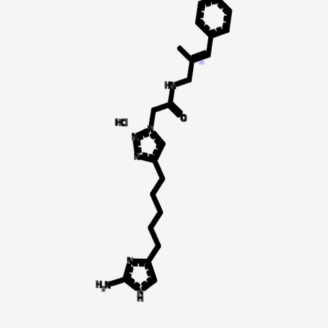 C/C(=C\c1ccccc1)CNC(=O)Cn1cc(CCCCCc2c[nH]c(N)n2)nn1.Cl